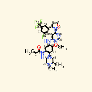 C=CC(=O)Nc1cc(Nc2cc(N3OCC[C@@H]3c3cc(F)cc(C(F)(F)F)c3)ncn2)c(OC)cc1N1CCN(C)[C@H](C)C1